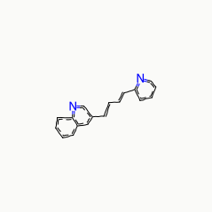 C(/C=C/c1ccccn1)=C\c1cnc2ccccc2c1